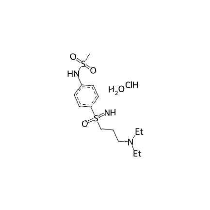 CCN(CC)CCCS(=N)(=O)c1ccc(NS(C)(=O)=O)cc1.Cl.O